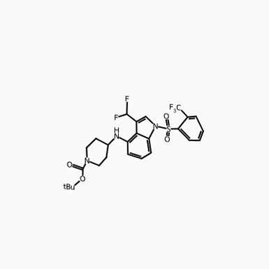 CC(C)(C)OC(=O)N1CCC(Nc2cccc3c2c(C(F)F)cn3S(=O)(=O)c2ccccc2C(F)(F)F)CC1